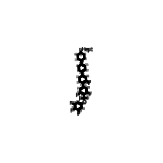 CCCCCCCC1CCC(c2ccc(-c3ccc(-c4cc(F)c(C(F)(F)Oc5cc(F)c(F)c(F)c5)c(F)c4)c(F)c3)cc2)CC1